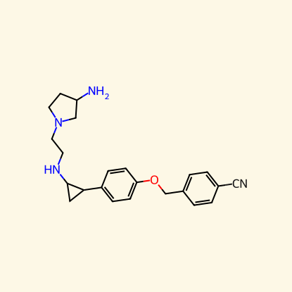 N#Cc1ccc(COc2ccc(C3CC3NCCN3CCC(N)C3)cc2)cc1